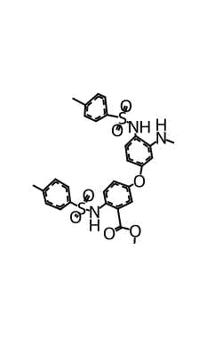 CNc1cc(Oc2ccc(NS(=O)(=O)c3ccc(C)cc3)c(C(=O)OC)c2)ccc1NS(=O)(=O)c1ccc(C)cc1